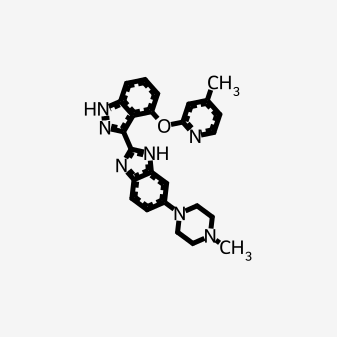 Cc1ccnc(Oc2cccc3[nH]nc(-c4nc5ccc(N6CCN(C)CC6)cc5[nH]4)c23)c1